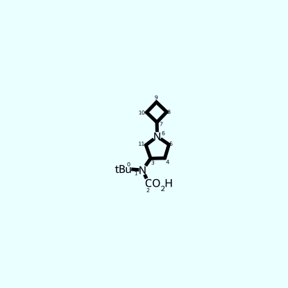 CC(C)(C)N(C(=O)O)C1CCN(C2CCC2)C1